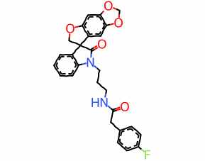 O=C(Cc1ccc(F)cc1)NCCCN1C(=O)C2(COc3cc4c(cc32)OCO4)c2ccccc21